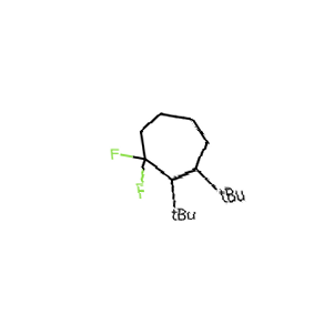 CC(C)(C)C1CCCCC(F)(F)C1C(C)(C)C